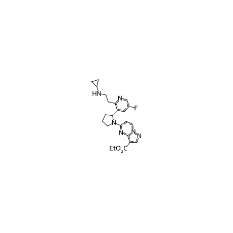 CCOC(=O)c1cnn2ccc(N3CCC[C@@H]3c3cc(F)cnc3CCNC3CC3)nc12